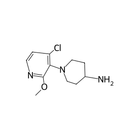 COc1nccc(Cl)c1N1CCC(N)CC1